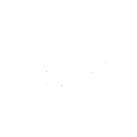 Nc1nc(Nc2ccc(N3CCNCC3)cc2)nn1-c1ccccn1